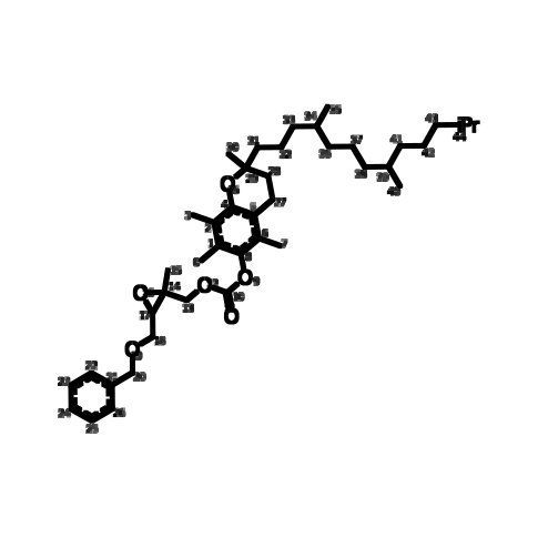 Cc1c(C)c2c(c(C)c1OC(=O)OCC1(C)OC1COCc1ccccc1)CCC(C)(CCCC(C)CCCC(C)CCCC(C)C)O2